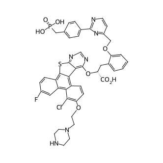 O=C(O)[C@@H](Cc1ccccc1OCc1ccnc(-c2ccc(CP(=O)(O)O)cc2)n1)Oc1ncnc2sc3c4ccc(F)cc4c4c(Cl)c(OCCN5CCNCC5)ccc4c3c12